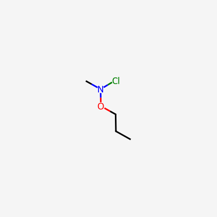 CCCON(C)Cl